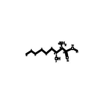 CCCCCC[C@@H](O)[C@H](N)C(=O)OC